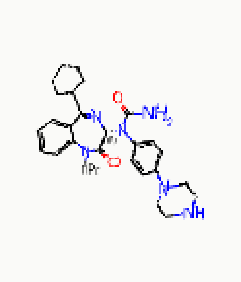 CCCN1C(=O)[C@@H](N(C(N)=O)c2ccc(N3CCNCC3)cc2)N=C(C2CCCCC2)c2ccccc21